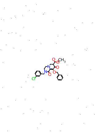 COC(=O)C1CN2CCN(Cc3cccc(Cl)c3)C(=O)C2=C(OCc2ccccc2)C1=O